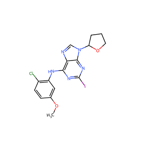 COc1ccc(Cl)c(Nc2nc(I)nc3c2ncn3C2CCCO2)c1